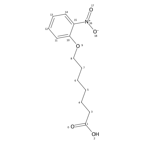 O=C(O)CCCCCCOc1ccccc1[N+](=O)[O-]